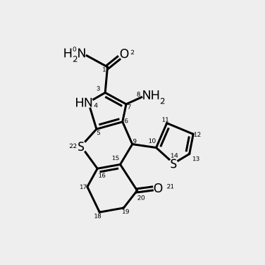 NC(=O)c1[nH]c2c(c1N)C(c1cccs1)C1=C(CCCC1=O)S2